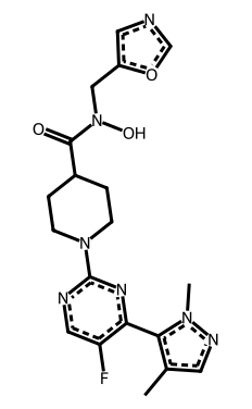 Cc1cnn(C)c1-c1nc(N2CCC(C(=O)N(O)Cc3cnco3)CC2)ncc1F